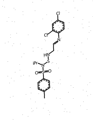 Cc1ccc(S(=O)(=O)N(SNCC=Nc2ccc(Cl)cc2Cl)C(C)C)cc1